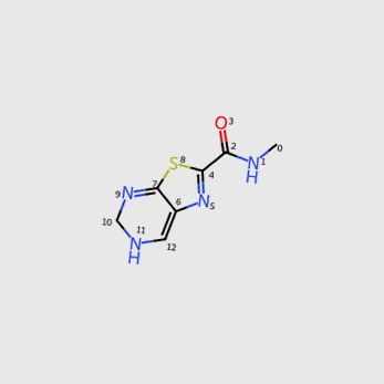 CNC(=O)c1nc2c(s1)=NCNC=2